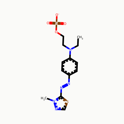 CCN(CCOS(=O)(=O)[O-])c1ccc(N=Nc2scn[n+]2C)cc1